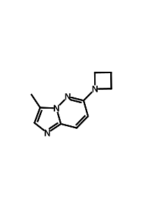 Cc1cnc2ccc(N3CCC3)nn12